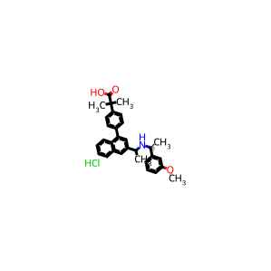 COc1cccc([C@@H](C)NC(C)c2cc(-c3ccc(C(C)(C)C(=O)O)cc3)c3ccccc3c2)c1.Cl